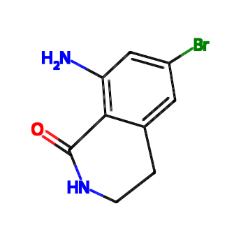 Nc1cc(Br)cc2c1C(=O)NCC2